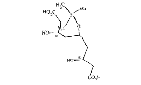 CC(C)(C)[Si](C)(C)OC(C[C@H](O)CC(=O)O)C[C@H](O)CC(=O)O